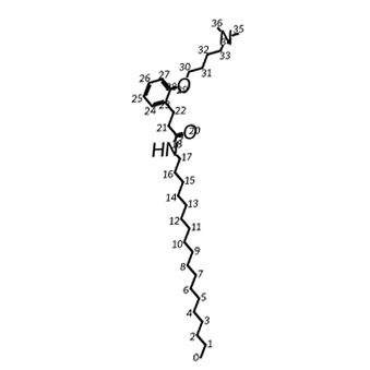 CCCCCCCCCCCCCCCCCCNC(=O)CCc1ccccc1OCCCCN(C)C